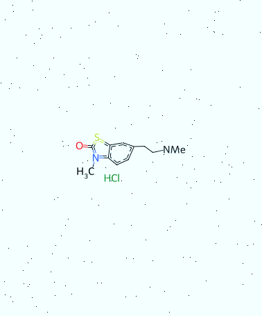 CNCCc1ccc2c(c1)sc(=O)n2C.Cl